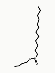 CCCCCCCCCCCC[P](=O)OCCCC